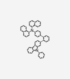 c1ccc(-n2c3ccccc3c3ccc(-c4ccccc4-c4ccc(N(c5cccc6ccccc56)c5cccc6ccccc56)cc4)cc32)cc1